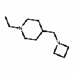 CCN1CCC(CN2CCC2)CC1